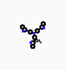 CC1(c2cnc3ccccc3c2)C=CC(N(c2ccc(-c3cnc4ccccc4c3)cc2)c2ccc(-c3cnc4ccccc4c3)cc2)=CC1